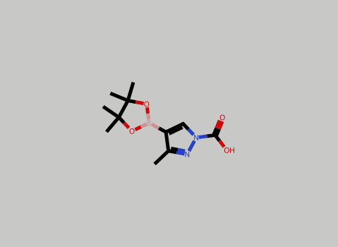 Cc1nn(C(=O)O)cc1B1OC(C)(C)C(C)(C)O1